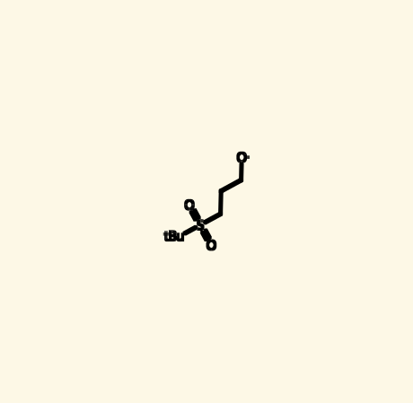 CC(C)(C)S(=O)(=O)CCC[O]